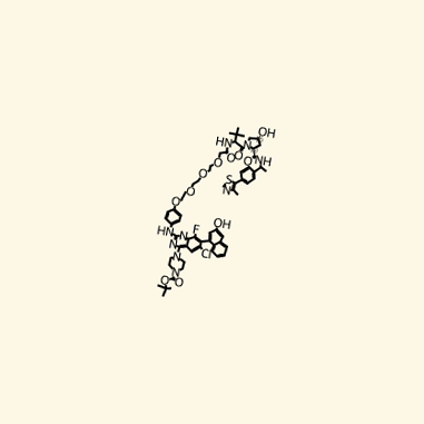 Cc1ncsc1-c1ccc(C(C)NC(=O)[C@@H]2C[C@@H](O)CN2C(=O)C(NC(=O)COCCOCCOCCOc2ccc(Nc3nc(N4CCN(C(=O)OC(C)(C)C)CC4)c4cc(Cl)c(-c5cc(O)cc6ccccc56)c(F)c4n3)cc2)C(C)(C)C)cc1